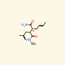 C=C(C)CC(C(=O)NC(C)(C)C)[C@H](C/C=C/C)C(N)=O